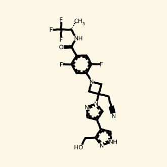 C[C@H](NC(=O)c1cc(F)c(N2CC(CC#N)(n3cc(-c4c[nH]nc4CO)cn3)C2)cc1F)C(F)(F)F